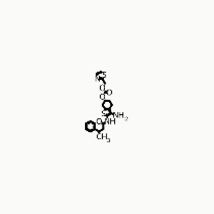 CC(CC(=O)Nc1sc2c(c1N)CCC(OC(=O)OCc1nccs1)C2)c1ccccc1